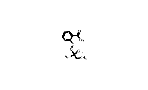 CCC(C)(C)OOc1ccccc1C(=O)O